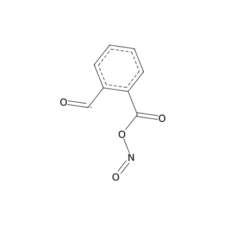 O=[C]c1ccccc1C(=O)ON=O